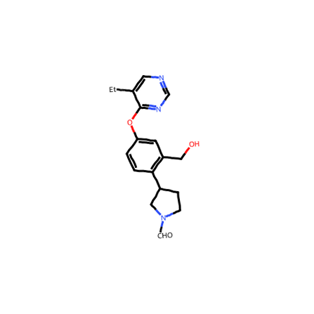 CCc1cncnc1Oc1ccc(C2CCN(C=O)C2)c(CO)c1